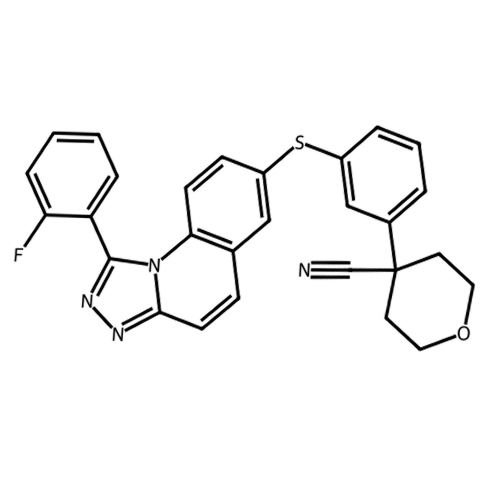 N#CC1(c2cccc(Sc3ccc4c(ccc5nnc(-c6ccccc6F)n54)c3)c2)CCOCC1